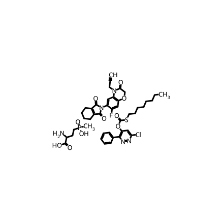 C#CCN1C(=O)COc2cc(F)c(N3C(=O)C4=C(CCCC4)C3=O)cc21.CCCCCCCCSC(=O)Oc1cc(Cl)nnc1-c1ccccc1.CP(=O)(O)CCC(N)C(=O)O